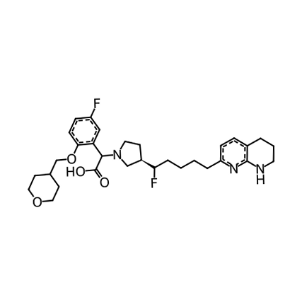 O=C(O)C(c1cc(F)ccc1OCC1CCOCC1)N1CC[C@@H](C(F)CCCCc2ccc3c(n2)NCCC3)C1